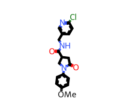 COc1ccc(N2CC(C(=O)NCc3ccc(Cl)nc3)CC2=O)cc1